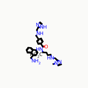 Cn1ccnc1CNCCC[C@H](NC(=O)c1ccc(CNCc2ncc[nH]2)cc1)C(=O)O.NCc1cccc2ccccc12